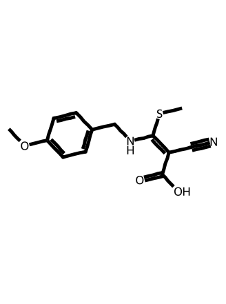 COc1ccc(CNC(SC)=C(C#N)C(=O)O)cc1